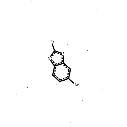 CCc1nc2ccc(C(C)=O)cc2s1